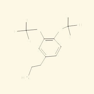 [2H]C([2H])([2H])Oc1ccc(CCN)cc1OC([2H])([2H])[2H]